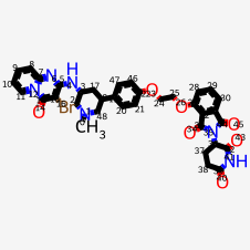 CN1CC(Nc2nc3ccccn3c(=O)c2Br)CC(c2ccc(OCCOc3cccc4c3C(=O)N(C3CCC(=O)NC3=O)C4=O)cc2)C1